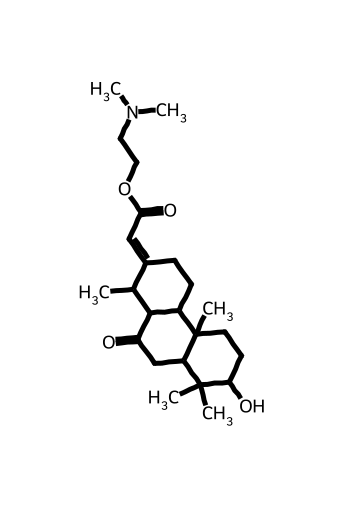 CC1/C(=C/C(=O)OCCN(C)C)CCC2C1C(=O)CC1C(C)(C)C(O)CCC21C